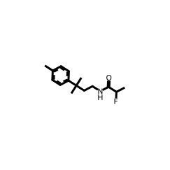 Cc1ccc(C(C)(C)CCNC(=O)C(C)F)cc1